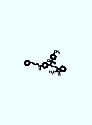 Cc1ccc(S(=O)(=O)C(CCc2c(C)[nH]c3ccccc23)c2ccc(NCCCc3ccccc3)cc2)cc1